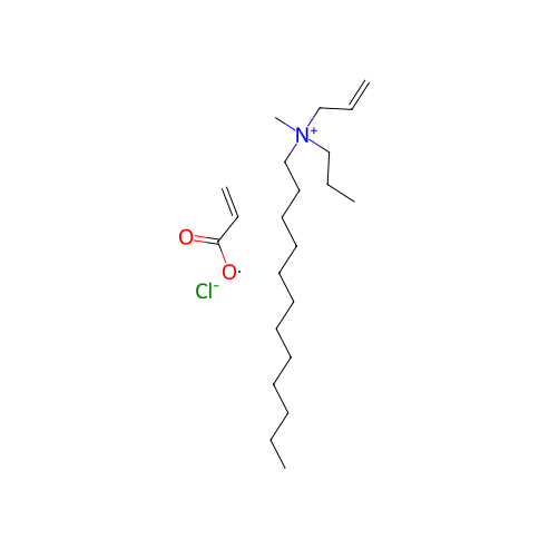 C=CC([O])=O.C=CC[N+](C)(CCC)CCCCCCCCCCCC.[Cl-]